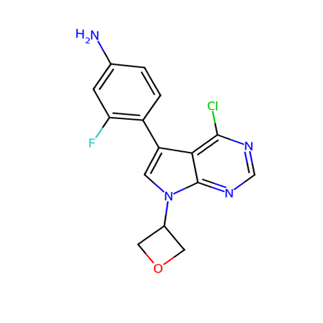 Nc1ccc(-c2cn(C3COC3)c3ncnc(Cl)c23)c(F)c1